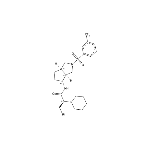 CC(C)C[C@@H](C(=O)N[C@@H]1CC[C@H]2CN(S(=O)(=O)c3cccc(C(F)(F)F)c3)C[C@H]21)N1CCCCC1